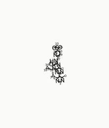 Cc1ncnc(C2CC2)c1-c1ncc2nc(NCc3ccc(S(C)(=O)=O)cn3)c(=O)n(CC3CC3)c2n1